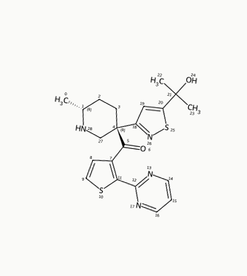 C[C@@H]1CC[C@](C(=O)c2ccsc2-c2ncccn2)(c2cc(C(C)(C)O)sn2)CN1